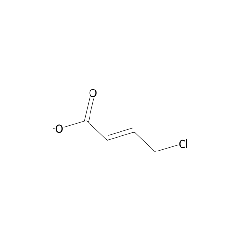 [O]C(=O)C=CCCl